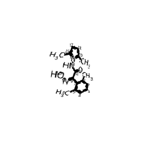 Cc1cccc(C)c1C(=NO)C(=O)Nn1c(C)ccc1C